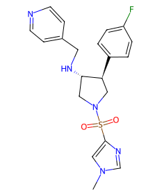 Cn1cnc(S(=O)(=O)N2C[C@H](NCc3ccncc3)[C@@H](c3ccc(F)cc3)C2)c1